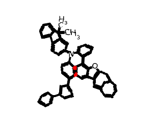 CC1(C)c2ccccc2-c2ccc(N(c3ccc(-c4cccc(-c5ccccc5)c4)cc3)c3ccccc3-c3cccc4c5c(oc34)C=C3C=CC=CC(=C5)C3)cc21